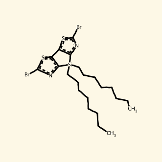 CCCCCCCC[Si]1(CCCCCCCC)c2nc(Br)sc2-c2sc(Br)nc21